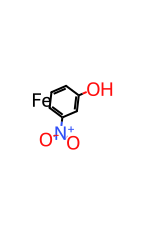 O=[N+]([O-])c1cccc(O)c1.[Fe]